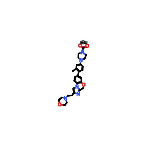 Cc1cc(N2CCN(C(=O)OC(C)(C)C)CC2)ccc1-c1ccc2c(c1)OCc1nc(CCN3CCOCC3)cn1-2